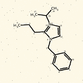 CCCc1n(Cc2ccccc2)cc[n+]1C(C)C